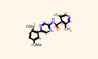 COc1ccc(OC)c(-c2cnc(NC(=O)c3c(C)cncc3F)cn2)c1